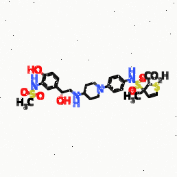 CC1(S(=O)(=O)Nc2ccc(N3CCC(NC[C@H](O)c4ccc(O)c(NS(C)(=O)=O)c4)CC3)cc2)C=CSC1C(=O)O